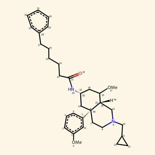 COc1cccc([C@@]23CCN(CC4CC4)C[C@H]2C(OC)C[C@@H](NC(=O)CCCCCc2ccccc2)C3)c1